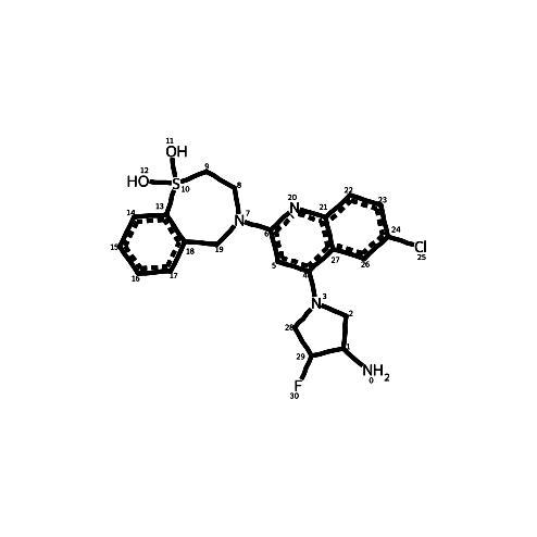 NC1CN(c2cc(N3CCS(O)(O)c4ccccc4C3)nc3ccc(Cl)cc23)CC1F